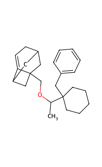 CC(OCC12CC3CC=C1C(C3)C2)C1(Cc2ccccc2)CCCCC1